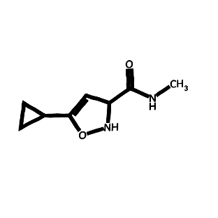 CNC(=O)C1C=C(C2CC2)ON1